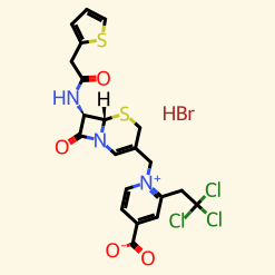 Br.O=C(Cc1cccs1)N[C@@H]1C(=O)N2C=C(C[n+]3ccc(C(=O)[O-])cc3CC(Cl)(Cl)Cl)CS[C@@H]12